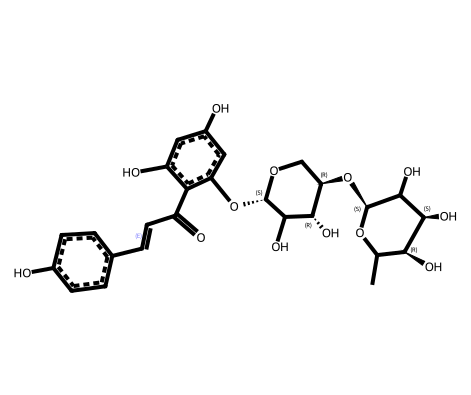 CC1O[C@@H](O[C@@H]2CO[C@@H](Oc3cc(O)cc(O)c3C(=O)/C=C/c3ccc(O)cc3)C(O)[C@H]2O)C(O)[C@@H](O)[C@H]1O